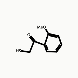 COc1ccccc1C(=O)CS